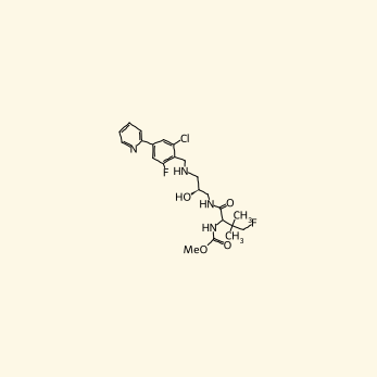 COC(=O)NC(C(=O)NC[C@@H](O)CNCc1c(F)cc(-c2ccccn2)cc1Cl)C(C)(C)CF